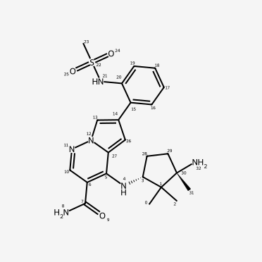 CC1(C)[C@H](Nc2c(C(N)=O)cnn3cc(-c4ccccc4NS(C)(=O)=O)cc23)CC[C@]1(C)N